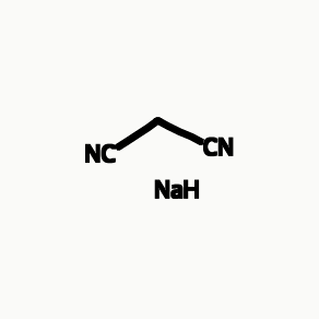 N#CCC#N.[NaH]